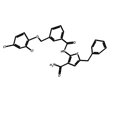 NC(=O)c1cc(Cc2ccccc2)sc1NC(=O)c1cccc(COc2ccc(Cl)cc2Cl)c1